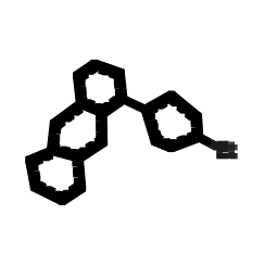 CCc1ccc(-c2cccc3cc4ccccc4cc23)cc1